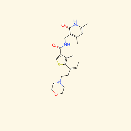 CC=C(CCN1CCOCC1)c1scc(C(=O)NCc2c(C)cc(C)[nH]c2=O)c1C